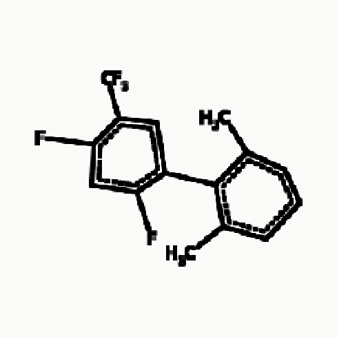 Cc1cccc(C)c1-c1cc(C(F)(F)F)c(F)cc1F